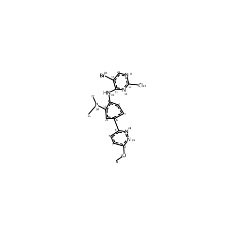 COc1ccc(-c2ccc(Nc3nc(Cl)ncc3Br)c(P(C)C)c2)nn1